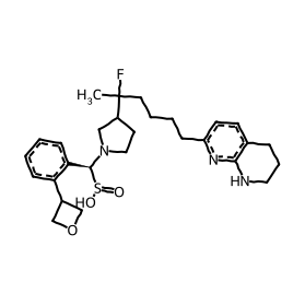 CC(F)(CCCCc1ccc2c(n1)NCCC2)C1CCN([C@H](c2ccccc2C2COC2)S(=O)O)C1